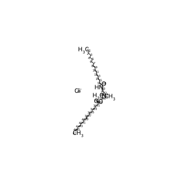 CCCCCCCCC=CCCCCCCCC(=O)NCCC[N+](C)(C)CCOC(=O)CCCCCCCC=CCCCCCCCC.[Cl-]